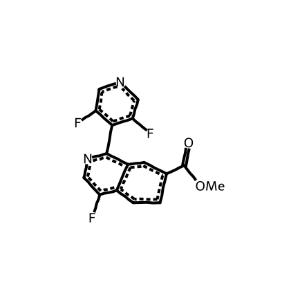 COC(=O)c1ccc2c(F)cnc(-c3c(F)cncc3F)c2c1